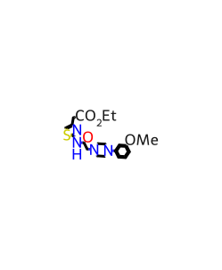 CCOC(=O)Cc1csc(NC(=O)CN2CCN(c3cccc(OC)c3)CC2)n1